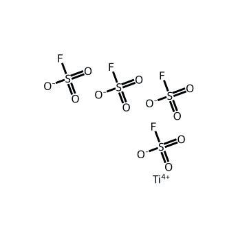 O=S(=O)([O-])F.O=S(=O)([O-])F.O=S(=O)([O-])F.O=S(=O)([O-])F.[Ti+4]